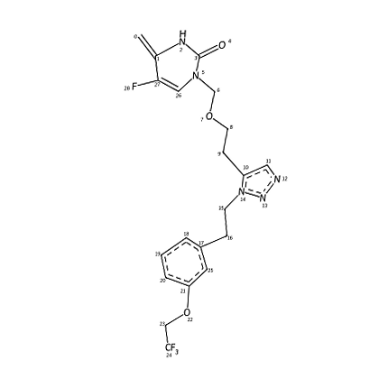 C=C1NC(=O)N(COCCc2cnnn2CCc2cccc(OCC(F)(F)F)c2)C=C1F